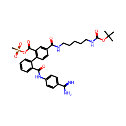 CC(C)(C)OC(=O)NCCCCCNC(=O)c1ccc(-c2ccccc2C(=O)Nc2ccc(C(=N)N)cc2)c(C(=O)OS(C)(=O)=O)c1